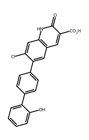 O=C(O)c1cc2cc(-c3ccc(-c4ccccc4O)cc3)c(Cl)cc2[nH]c1=O